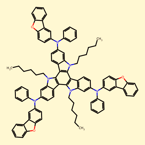 CCCCCCn1c2cc(N(c3ccccc3)c3ccc4oc5ccccc5c4c3)ccc2c2c1c1c3ccc(N(c4ccccc4)c4ccc5oc6ccccc6c5c4)cc3n(CCCCCC)c1c1c3ccc(N(c4ccccc4)c4ccc5oc6ccccc6c5c4)cc3n(CCCCCC)c21